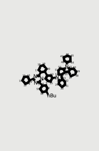 CCCCc1ccc(-c2nc(-c3ccccc3)nc(-c3ccccc3-c3cccc(-n4c5ccccc5c5c6c7ccccc7n(-c7ccccc7)c6ccc54)c3)n2)cc1